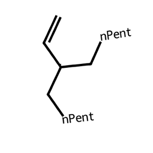 C=C[C](CCCCCC)CCCCCC